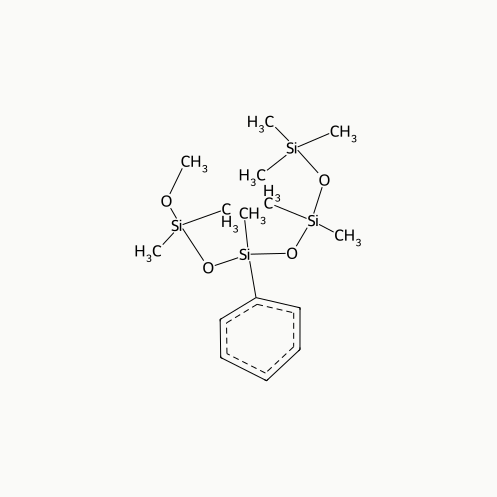 CO[Si](C)(C)O[Si](C)(O[Si](C)(C)O[Si](C)(C)C)c1ccccc1